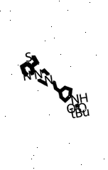 CC(C)(C)OC(=O)NC1CCC(CCN2CCN(c3nccc4sccc34)CC2)CC1